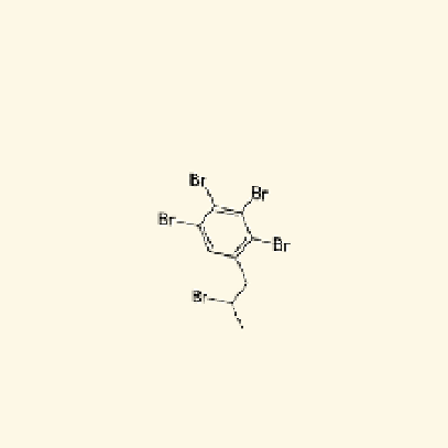 CC(Br)Cc1cc(Br)c(Br)c(Br)c1Br